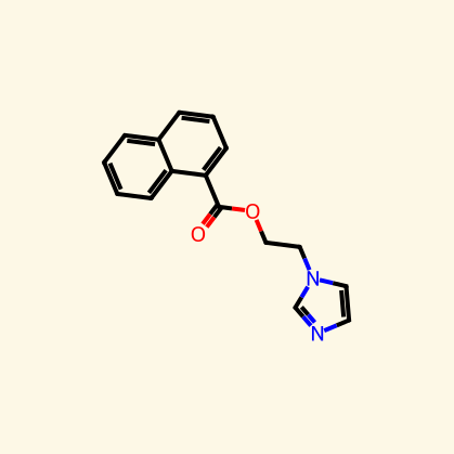 O=C(OCCn1ccnc1)c1cccc2ccccc12